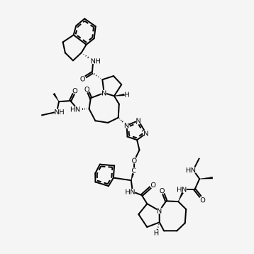 CN[C@@H](C)C(=O)N[C@H]1CCCC[C@H]2CCC(C(=O)N[C@H](COCc3cn([C@@H]4CC[C@H](NC(=O)[C@H](C)NC)C(=O)N5[C@H](CC[C@H]5C(=O)N[C@@H]5CCCc6ccccc65)C4)nn3)c3ccccc3)N2C1=O